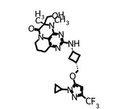 CN1c2nc(N[C@H]3C[C@@H](COc4cc(C(F)(F)F)nn4C4CC4)C3)nc3c2N(CCC3)C(=O)[C@]1(C)CO